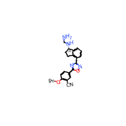 CC(C)Oc1ccc(-c2nc(-c3cccc4c3CC[C@@H]4NCN)no2)cc1C#N